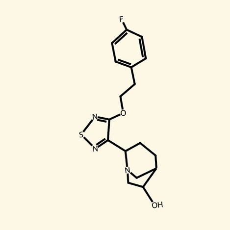 OC1CN2CC1CCC2c1nsnc1OCCc1ccc(F)cc1